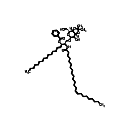 CCCCCCCC/C=C\CCCCCCCCCCCCCC(=O)N[C@@H](CO[C@H]1O[C@H](CO)[C@@H]2OC(C)(C)O[C@@H]2[C@H]1O)[C@@H](/C=C/CCCCCCCCCCCCC)OC(=O)c1ccccc1